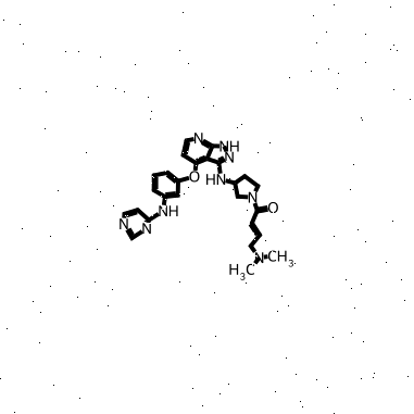 CN(C)CC=CC(=O)N1CCC(Nc2n[nH]c3nccc(Oc4cccc(Nc5ccncn5)c4)c23)C1